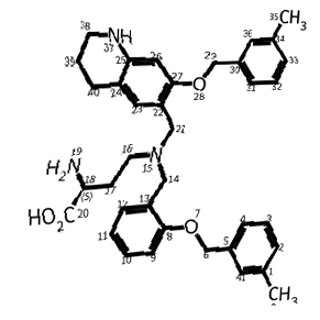 Cc1cccc(COc2ccccc2CN(CC[C@H](N)C(=O)O)Cc2cc3c(cc2OCc2cccc(C)c2)NCCC3)c1